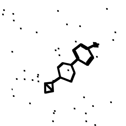 Brc1ccc(C2CCC(C3C4CC43)CC2)cc1